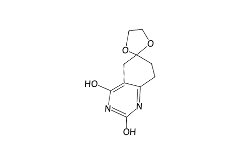 Oc1nc(O)c2c(n1)CCC1(C2)OCCO1